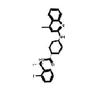 Cc1cc(N[C@H]2CC[C@@H](C(=O)N[C@@H](C)c3ccccc3F)CC2)nc2ccccc12